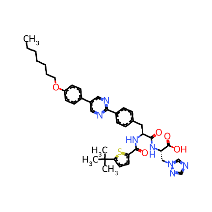 CCCCCCCOc1ccc(-c2cnc(-c3ccc(C[C@H](NC(=O)c4ccc(C(C)(C)C)s4)C(=O)N[C@@H](Cn4cncn4)C(=O)O)cc3)nc2)cc1